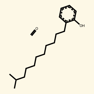 C=O.CC(C)CCCCCCCCCc1ccccc1O